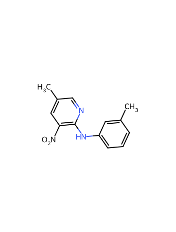 Cc1cccc(Nc2ncc(C)cc2[N+](=O)[O-])c1